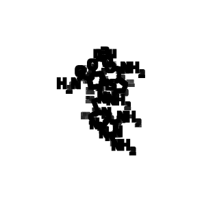 CCCCC(=O)Oc1cc([SH]2C(N)=CC=C2C(N)=O)c(NCc2cnc3nc(N)nc(N)c3n2)cc1C(N)=O